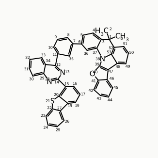 CC1(C)c2ccc(-c3cccc(-c4nc(-c5cccc6c5sc5ccccc56)nc5ccccc45)c3)cc2-n2c3oc4ccccc4c3c3cccc1c32